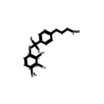 CCCC(C)CCCc1ccc(C(F)(F)Oc2ccc(C)c(F)c2F)cc1